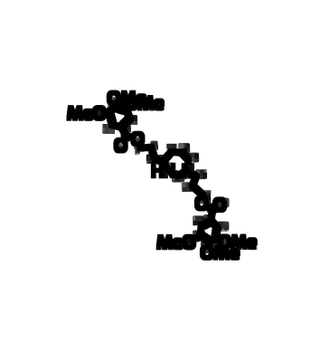 COc1cc(C(=O)OCCCC2CCCN(CCCOC(=O)c3cc(OC)c(OC)c(OC)c3)CN2)cc(OC)c1OC